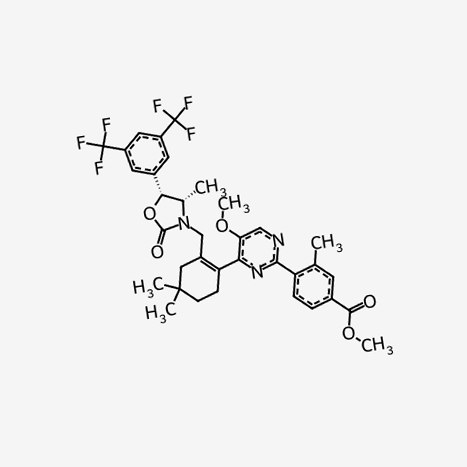 COC(=O)c1ccc(-c2ncc(OC)c(C3=C(CN4C(=O)O[C@H](c5cc(C(F)(F)F)cc(C(F)(F)F)c5)[C@@H]4C)CC(C)(C)CC3)n2)c(C)c1